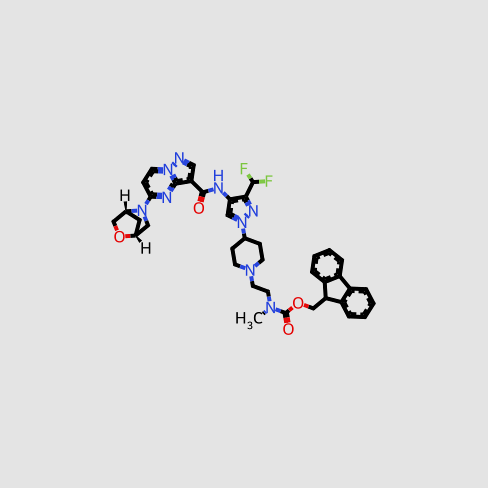 CN(CCN1CCC(n2cc(NC(=O)c3cnn4ccc(N5C[C@H]6C[C@@H]5CO6)nc34)c(C(F)F)n2)CC1)C(=O)OCC1c2ccccc2-c2ccccc21